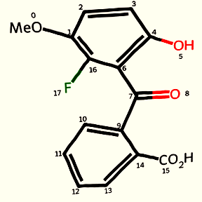 COc1ccc(O)c(C(=O)c2ccccc2C(=O)O)c1F